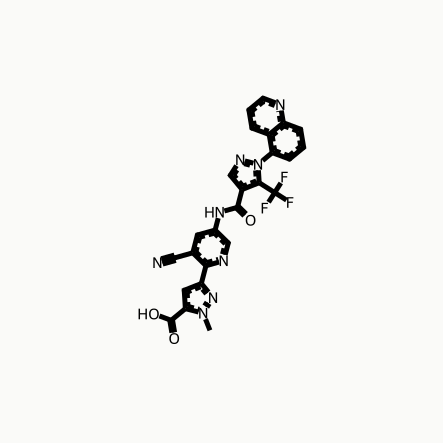 Cn1nc(-c2ncc(NC(=O)c3cnn(-c4cccc5ncccc45)c3C(F)(F)F)cc2C#N)cc1C(=O)O